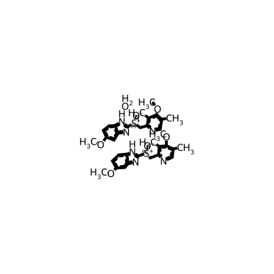 COc1ccc2[nH]c([S@@+]([O-])Cc3ncc(C)c(OC)c3C)nc2c1.COc1ccc2[nH]c([S@@+]([O-])Cc3ncc(C)c(OC)c3C)nc2c1.O